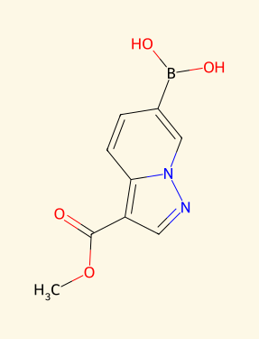 COC(=O)c1cnn2cc(B(O)O)ccc12